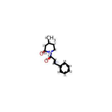 CC1CCN(C(=O)/C=C/c2ccccc2)C(=O)C1